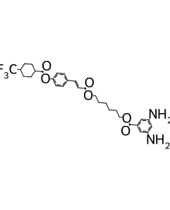 Nc1cc(N)cc(C(=O)OCCCCCCOC(=O)/C=C/c2ccc(OC(=O)C3CCC(C(F)(F)F)CC3)cc2)c1